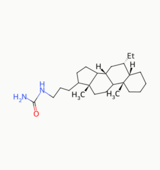 CC[C@H]1C[C@H]2C3CCC(CCCNC(N)=O)[C@@]3(C)CCC2[C@@]2(C)CCCC[C@@H]12